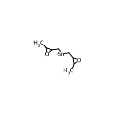 CC1OC1[CH2][Sn][CH2]C1OC1C